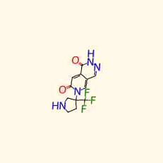 O=c1[nH]ncc2cn(C3(C(F)(F)F)CCNC3)c(=O)cc12